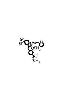 COC(=O)c1ccc(Cc2cn(CC=Cc3ccccn3)c3ccc([N+](=O)[O-])cc23)c(OC)c1